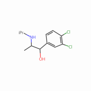 CC(C)NC(C)C(O)c1ccc(Cl)c(Cl)c1